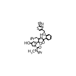 CC(C)C[C@@H](NC(=O)c1ccccc1OCc1csc(C(C)(C)C)n1)C(=O)N1C[C@H](O)C[C@H]1C(=O)N(C)C(C)C